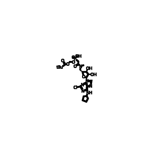 CN(C[C@H]1O[C@@H](n2cnc3c(NC4CCCC4)nc(Cl)nc32)[C@H](O)[C@@H]1O)C(=O)CP(=O)(O)OCOC(=O)C(C)(C)C